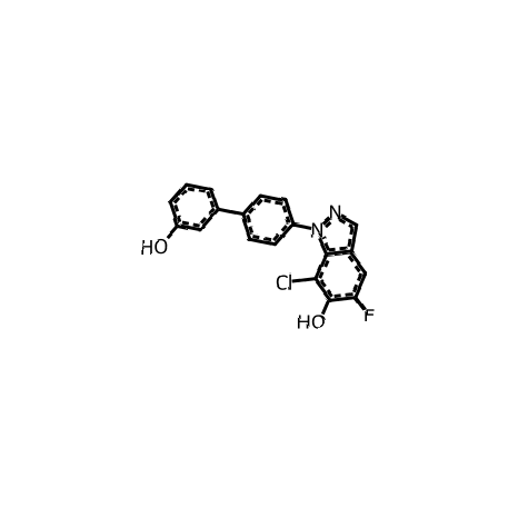 Oc1cccc(-c2ccc(-n3ncc4cc(F)c(O)c(Cl)c43)cc2)c1